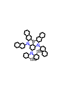 CC(C)(C)c1ccccc1N(c1cc2c3c(c1)N(c1ccc4ccccc4c1)c1cc4ccccc4cc1B3c1cc3ccccc3cc1N2c1ccc2ccccc2c1)c1ccccc1C(C)(C)C